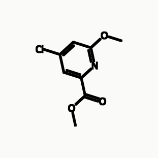 COC(=O)c1cc(Cl)cc(OC)n1